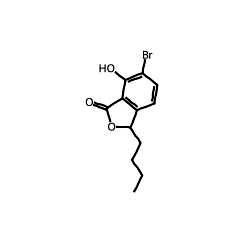 CCCCC1OC(=O)c2c1ccc(Br)c2O